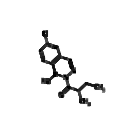 CCC(C)C(=O)N1N=Cc2cc(Cl)ccc2B1O